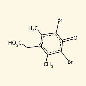 Cc1c(Br)c(=O)c(Br)c(C)n1CC(=O)O